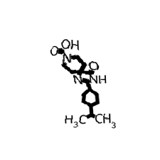 CC(C)C1CCC(C2=NC3(CCN(C(=O)O)CC3)C(=O)N2)CC1